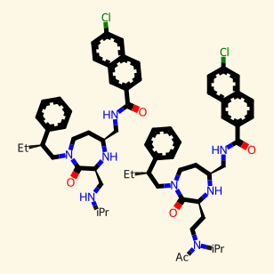 CC[C@H](CN1CC[C@@H](CNC(=O)c2ccc3cc(Cl)ccc3c2)N[C@@H](CCN(C(C)=O)C(C)C)C1=O)c1ccccc1.CC[C@H](CN1CC[C@@H](CNC(=O)c2ccc3cc(Cl)ccc3c2)N[C@@H](CNC(C)C)C1=O)c1ccccc1